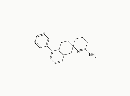 NC1=NC2(CCC1)CCc1c(cccc1-c1cncnc1)C2